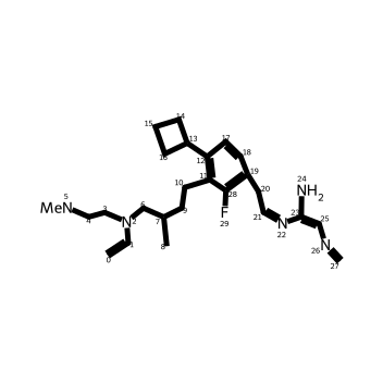 C=CN(CCNC)CC(C)CCc1c(C2CCC2)ccc(C/C=N\C(N)=C/N=C)c1F